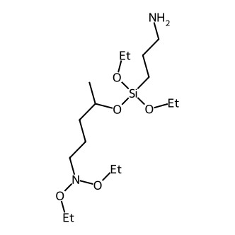 CCON(CCCC(C)O[Si](CCCN)(OCC)OCC)OCC